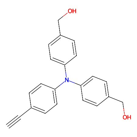 C#Cc1ccc(N(c2ccc(CO)cc2)c2ccc(CO)cc2)cc1